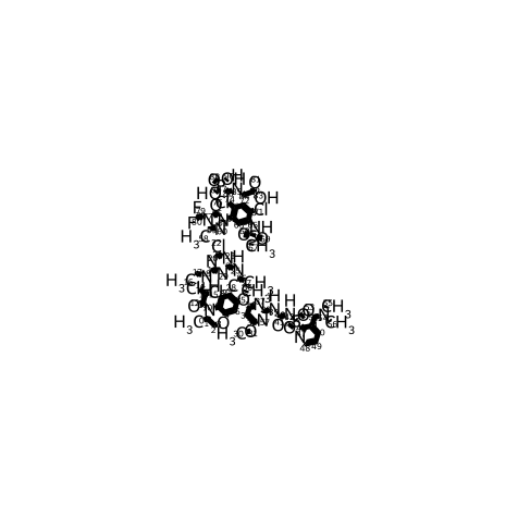 CC1COc2ccccc2N1C(=O)C(Cl)Cl.CCNc1nc(Cl)nc(NC(C)C)n1.COc1cc(OC)nc(NC(=O)NS(=O)(=O)c2ncccc2C(=O)N(C)C)n1.Cc1nn(-c2cc(NS(C)(=O)=O)c(Cl)cc2Cl)c(=O)n1C(F)F.O=C(O)CNCP(=O)(O)O